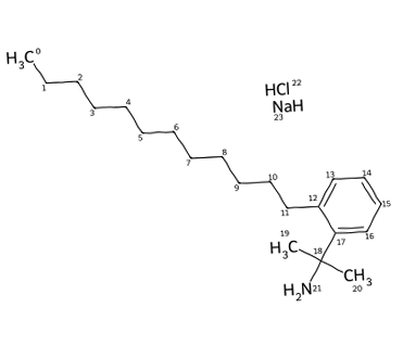 CCCCCCCCCCCCc1ccccc1C(C)(C)N.Cl.[NaH]